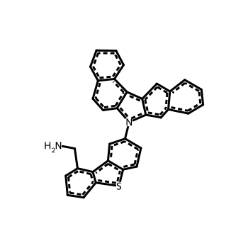 NCc1cccc2sc3ccc(-n4c5cc6ccccc6cc5c5c6ccccc6ccc54)cc3c12